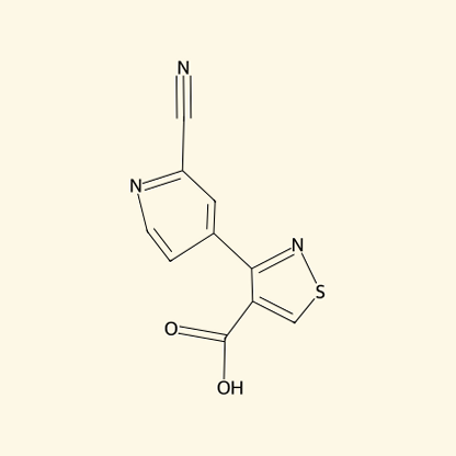 N#Cc1cc(-c2nscc2C(=O)O)ccn1